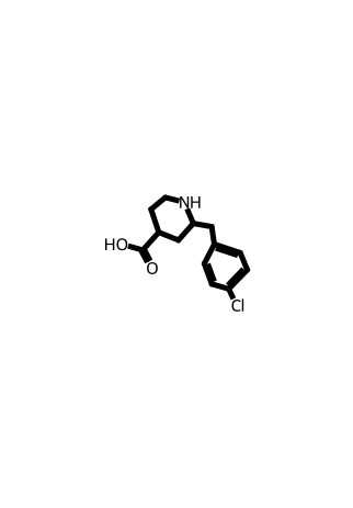 O=C(O)C1CCNC(Cc2ccc(Cl)cc2)C1